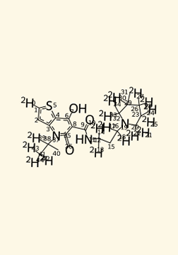 [2H]c1cc2c(s1)c(O)c(C(=O)NC([2H])([2H])CC([2H])([2H])N1C([2H])([2H])C([2H])([2H])C([2H])([2H])C([2H])(C)C1([2H])[2H])c(=O)n2C([2H])(C)C([2H])([2H])[2H]